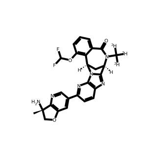 [2H]C([2H])([2H])N1C(=O)c2cccc(OC(F)F)c2[C@H]2C[C@@H]1c1nc3ccc(-c4cnc5c(c4)OC[C@]5(C)N)nc3n12